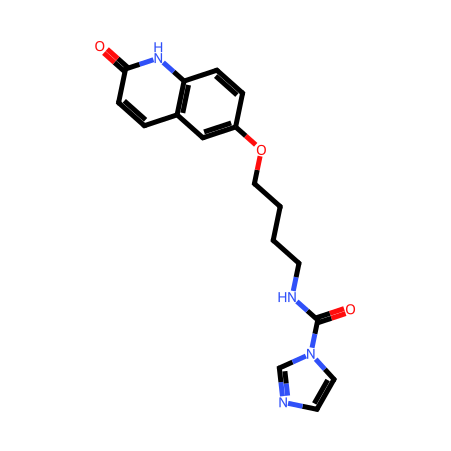 O=C(NCCCCOc1ccc2[nH]c(=O)ccc2c1)n1ccnc1